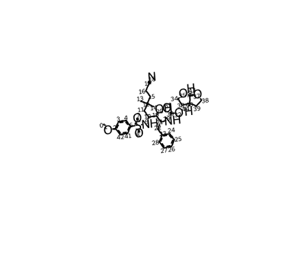 COc1ccc(S(=O)(=O)NC(CC(C)(C)CCC#N)[C@H](O)[C@H](Cc2ccccc2)NC(=O)O[C@@H]2CO[C@@H]3OCC[C@@H]32)cc1